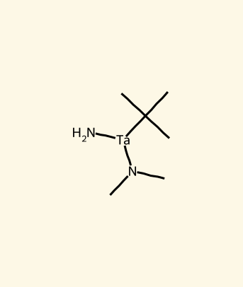 C[N](C)[Ta]([NH2])[C](C)(C)C